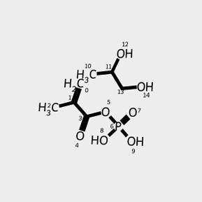 C=C(C)C(=O)OP(=O)(O)O.CC(O)CO